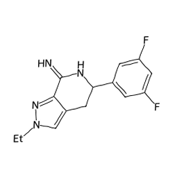 CCn1cc2c(n1)C(=N)NC(c1cc(F)cc(F)c1)C2